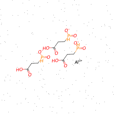 O=C(O)CC[PH](=O)[O-].O=C(O)CC[PH](=O)[O-].O=C(O)CC[PH](=O)[O-].[Al+3]